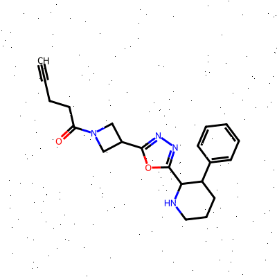 C#CCCC(=O)N1CC(c2nnc(C3NCCCC3c3ccccc3)o2)C1